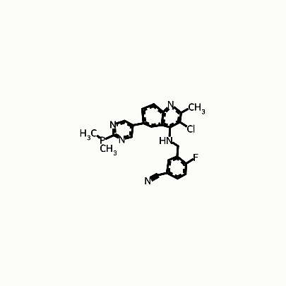 Cc1nc2ccc(-c3cnc(P(C)C)nc3)cc2c(NCc2cc(C#N)ccc2F)c1Cl